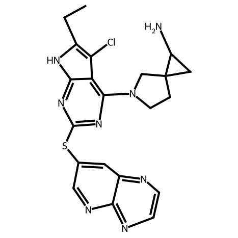 CCc1[nH]c2nc(Sc3cnc4nccnc4c3)nc(N3CCC4(CC4N)C3)c2c1Cl